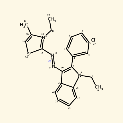 CCn1c(-c2ccccc2)c(/N=N/c2scc(C)[n+]2CC)c2ccccc21.[Cl-]